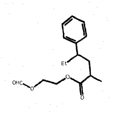 CCC(CC(C)C(=O)OCCOC=O)c1ccccc1